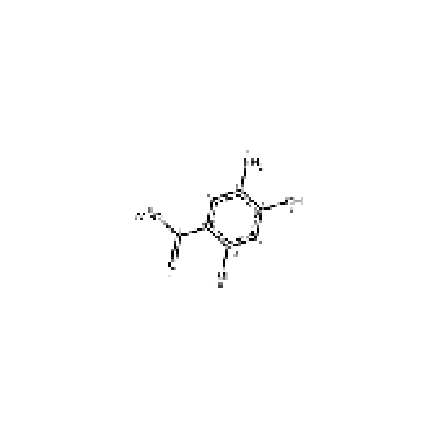 COC(=O)c1cc(N)c(O)cc1O